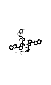 CCCc1ccc(C2=Cc3c(-c4ccc5ccccc5c4)cccc3[CH]2[Zr+2][CH]2C(c3ccc(CCC)o3)=Cc3c(-c4ccc5ccccc5c4)cccc32)o1.[Cl-].[Cl-]